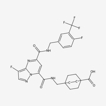 O=C(NCc1ccc(F)c(C(F)(F)F)c1)c1cc(C(=O)NCC23CCC(C(=O)O)(CC2)CC3)n2ncc(F)c2n1